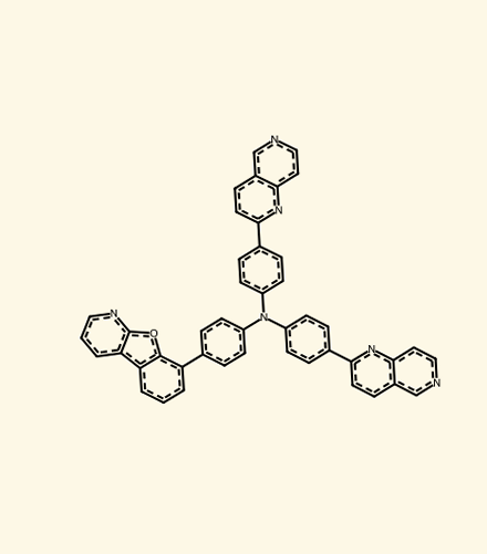 c1cnc2oc3c(-c4ccc(N(c5ccc(-c6ccc7cnccc7n6)cc5)c5ccc(-c6ccc7cnccc7n6)cc5)cc4)cccc3c2c1